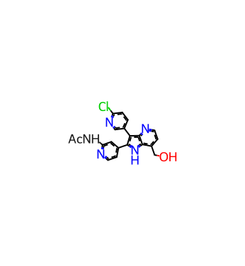 CC(=O)Nc1cc(-c2[nH]c3c(CO)ccnc3c2-c2ccc(Cl)nc2)ccn1